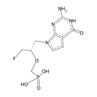 Nc1nc2c(ccn2C[C@@H](CF)OCP(=O)(O)O)c(=O)[nH]1